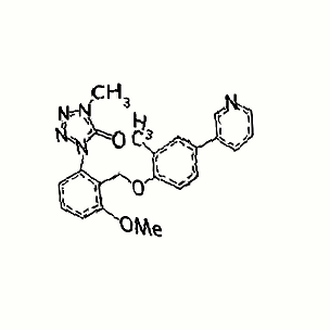 COc1cccc(-n2nnn(C)c2=O)c1COc1ccc(-c2cccnc2)cc1C